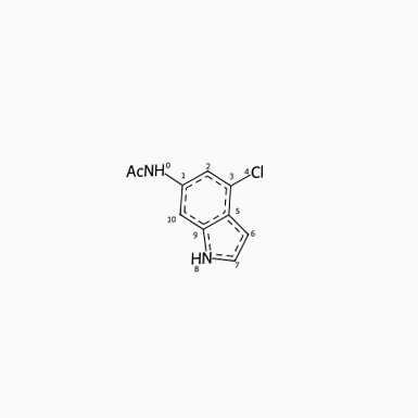 CC(=O)Nc1cc(Cl)c2cc[nH]c2c1